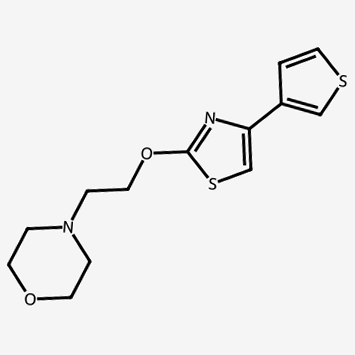 c1cc(-c2csc(OCCN3CCOCC3)n2)cs1